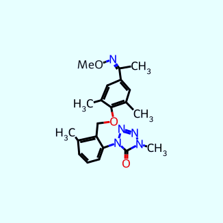 CO/N=C(/C)c1cc(C)c(OCc2c(C)cccc2-n2nnn(C)c2=O)c(C)c1